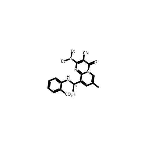 CCN(CC)c1nc2c([C@@H](C)Nc3ccccc3C(=O)O)cc(C)cn2c(=O)c1C#N